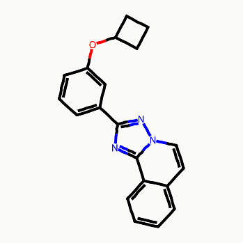 c1cc(OC2CCC2)cc(-c2nc3c4ccccc4ccn3n2)c1